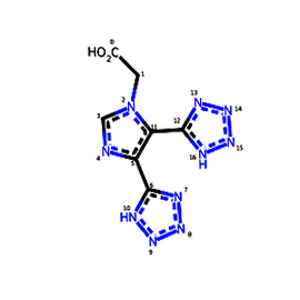 O=C(O)Cn1cnc(-c2nnn[nH]2)c1-c1nnn[nH]1